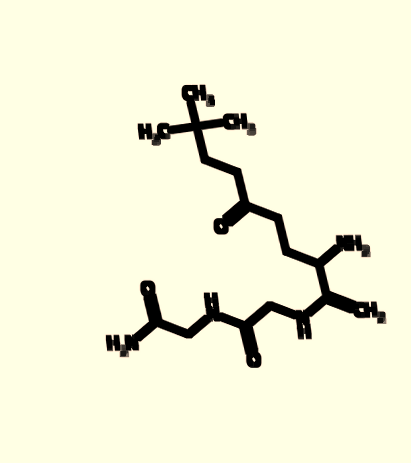 C=C(NCC(=O)NCC(N)=O)C(N)CCC(=O)CCC(C)(C)C